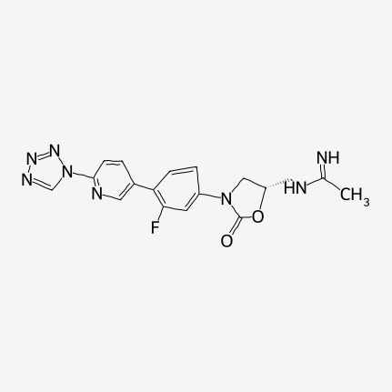 CC(=N)NC[C@H]1CN(c2ccc(-c3ccc(-n4cnnn4)nc3)c(F)c2)C(=O)O1